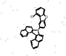 Clc1cccc2oc3ccc(-n4c5ccc6ccccc6c5c5c6ccccc6ccc54)cc3c12